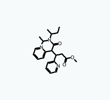 CCC(C)N(C(=O)C(c1ccccn1)C(CC(=O)OC)c1ccccn1)C(C)C